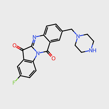 O=C1c2cc(F)ccc2-n2c1nc1ccc(CN3CCNCC3)cc1c2=O